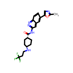 Cc1ncc(-c2ccc3nnc(NC(=O)[C@H]4CC[C@H](NCCC(F)(F)F)CC4)cc3c2)o1